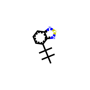 CC(C)(C)C(C)(C)c1cccc2nsnc12